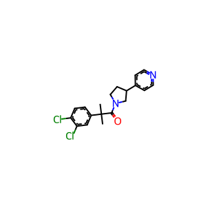 CC(C)(C(=O)N1CCC(c2ccncc2)C1)c1ccc(Cl)c(Cl)c1